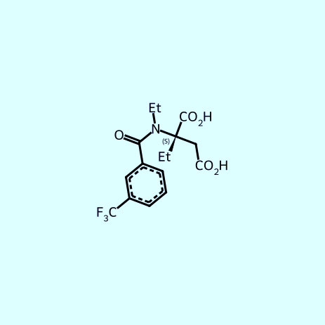 CCN(C(=O)c1cccc(C(F)(F)F)c1)[C@@](CC)(CC(=O)O)C(=O)O